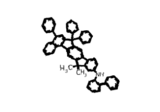 CC1(C)c2cc(Nc3ccccc3-c3ccccc3)ccc2-c2cc3c(cc21)-c1c(cc(-c2ccccc2)c2ccccc12)C3(c1ccccc1)c1ccccc1